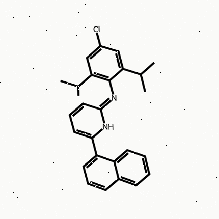 CC(C)c1cc(Cl)cc(C(C)C)c1/N=c1\cccc(-c2cccc3ccccc23)[nH]1